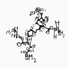 BNPOC(=O)/N=C(/NC(=O)OPNB)N[C@H]1CCN(CC2=C(C(=O)OPNB)N3C(=O)C([C@@H](C)O[Si](CC)(CC)CC)[C@H]3[C@H]2C)C1